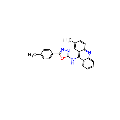 Cc1ccc(-c2nnc(Nc3c4ccccc4nc4ccc(C)cc34)o2)cc1